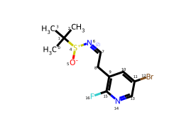 CC(C)(C)[S+]([O-])/N=C\Cc1cc(Br)cnc1F